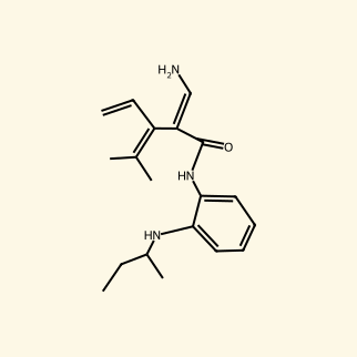 C=CC(=C(C)C)/C(=C\N)C(=O)Nc1ccccc1NC(C)CC